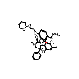 CN(C[C@@]1(c2ccccc2)Cc2c(cc(F)c(Cl)c2-c2c(C(N)=O)ccc(OCCOC3CCCCO3)c2F)O1)C(=O)OC(C)(C)C